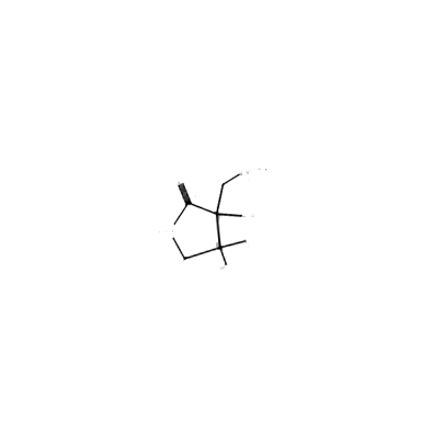 CCCCCCCC1(O)C(=O)OCC1(C)C